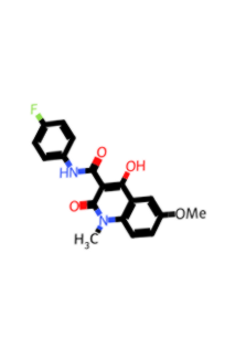 COc1ccc2c(c1)c(O)c(C(=O)Nc1ccc(F)cc1)c(=O)n2C